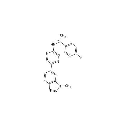 C[C@@H](Nc1ncc(-c2ccc3ncn(C)c3c2)nn1)c1ccc(F)cc1